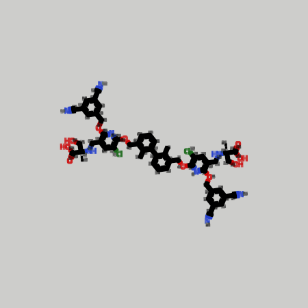 Cc1c(COc2nc(OCc3cc(C#N)cc(C#N)c3)c(CN[C@](C)(CO)C(=O)O)cc2Cl)cccc1-c1cccc(COc2nc(OCc3cc(C#N)cc(C#N)c3)c(CN[C@](C)(CO)C(=O)O)cc2Cl)c1C